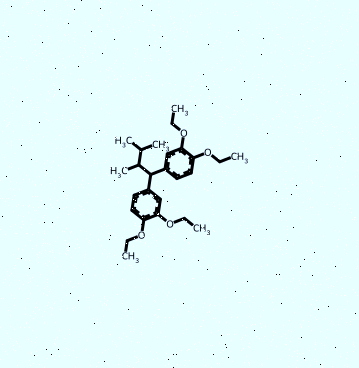 CCOc1ccc(C(c2ccc(OCC)c(OCC)c2)C(C)C(C)C)cc1OCC